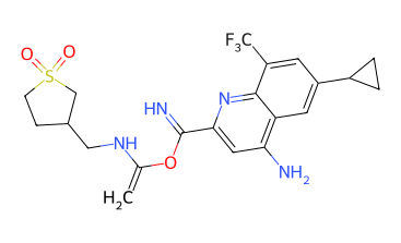 C=C(NCC1CCS(=O)(=O)C1)OC(=N)c1cc(N)c2cc(C3CC3)cc(C(F)(F)F)c2n1